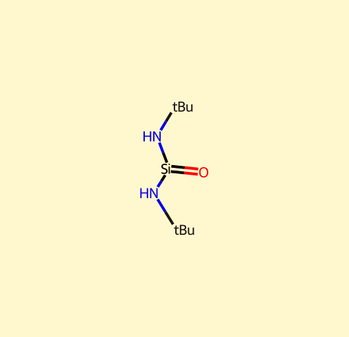 CC(C)(C)N[Si](=O)NC(C)(C)C